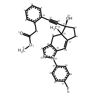 COC(=O)Cc1ccccc1C#C[C@]1(O)CCC2=Cc3c(cnn3-c3ccc(F)cc3)CC21C